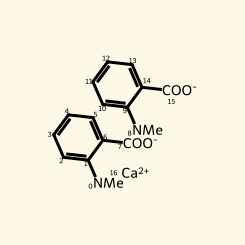 CNc1ccccc1C(=O)[O-].CNc1ccccc1C(=O)[O-].[Ca+2]